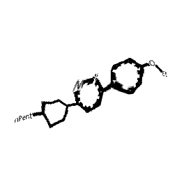 CCCCCC1CCC(c2ccc(-c3ccc(OCC)cc3)nn2)CC1